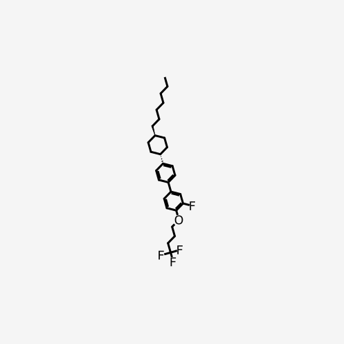 CCCCCCC[C@H]1CC[C@H](c2ccc(-c3ccc(OCCCC(F)(F)F)c(F)c3)cc2)CC1